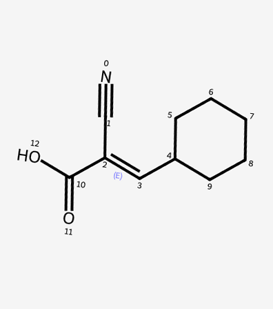 N#C/C(=C\C1CCCCC1)C(=O)O